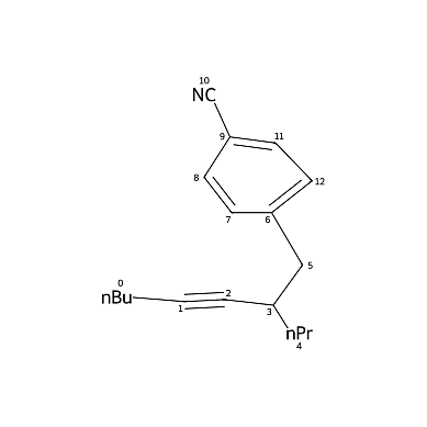 CCCCC#CC(CCC)Cc1ccc(C#N)cc1